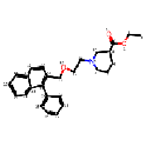 CCOC(=O)C1CCCN(CCOCc2ccc3ccccc3c2-c2ccccc2)C1